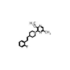 COc1ncc(C)nc1N1CCC(/C=C/c2ccccc2F)CC1